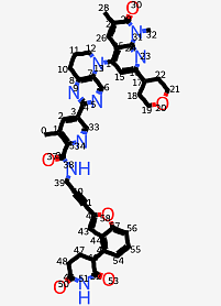 Cc1cc(-c2ncc3c(n2)CCCN3c2cc(C3CCOCC3)nc3c2cc(C)c(=O)n3C)cnc1C(=O)NCC#Cc1cc2c(C3CCC(=O)NC3=O)cccc2o1